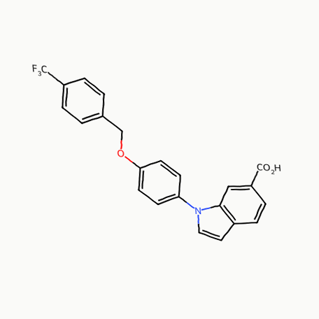 O=C(O)c1ccc2ccn(-c3ccc(OCc4ccc(C(F)(F)F)cc4)cc3)c2c1